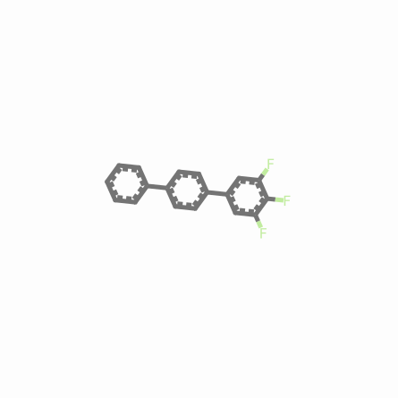 Fc1cc(-c2ccc(-c3ccccc3)cc2)cc(F)c1F